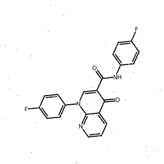 O=C(Nc1ccc(F)cc1)c1cn(-c2ccc(F)cc2)c2ncccc2c1=O